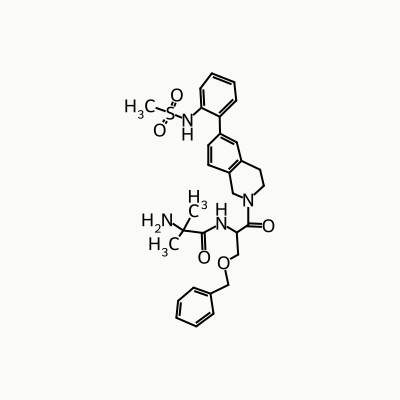 CC(C)(N)C(=O)NC(COCc1ccccc1)C(=O)N1CCc2cc(-c3ccccc3NS(C)(=O)=O)ccc2C1